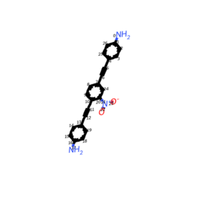 Nc1ccc(C#Cc2ccc(C#Cc3ccc(N)cc3)c([N+](=O)[O-])c2)cc1